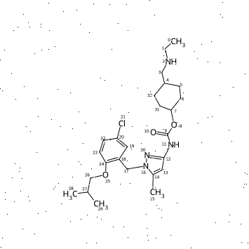 CCNCC1CCC(OC(=O)Nc2cc(C)n(Cc3cc(Cl)ccc3OCC(C)C)n2)CC1